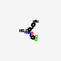 CCCCc1ccc(Cc2ccc(C(=O)O)c(NC(=O)Cc3ccc(Cl)c(Cl)c3)c2)cc1